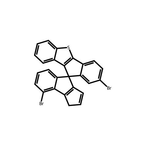 Brc1ccc2c(c1)C1(C3=C(CC=C3)c3c(Br)cccc31)c1c-2sc2ccccc12